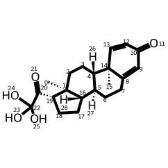 C[C@]12CC[C@H]3[C@@H](CCC4=CC(=O)C=C[C@@]43C)[C@@H]1CC[C@@H]2C(=O)C(O)(O)O